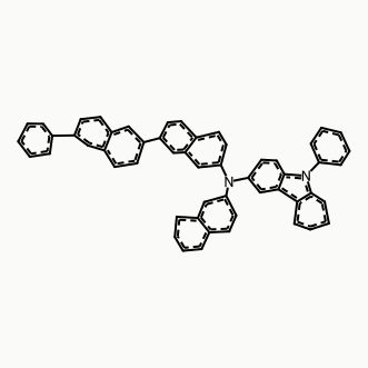 c1ccc(-c2ccc3cc(-c4ccc5ccc(N(c6ccc7ccccc7c6)c6ccc7c(c6)c6ccccc6n7-c6ccccc6)cc5c4)ccc3c2)cc1